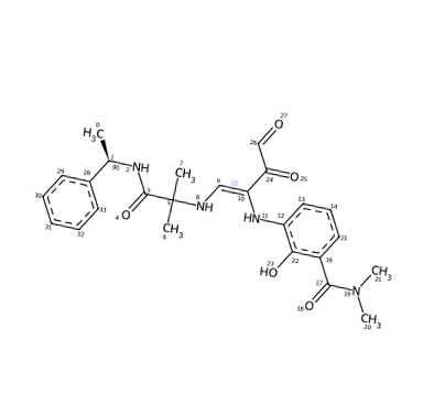 C[C@@H](NC(=O)C(C)(C)N/C=C(\Nc1cccc(C(=O)N(C)C)c1O)C(=O)C=O)c1ccccc1